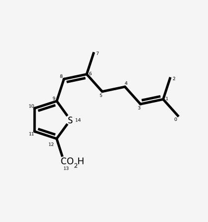 CC(C)=CCCC(C)=Cc1ccc(C(=O)O)s1